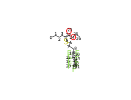 CCCCC(SCCCC(F)(F)C(F)(F)C(F)(F)C(F)(F)F)C(=O)OCC